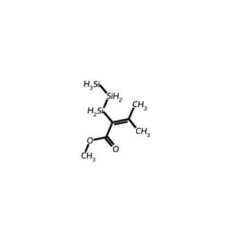 COC(=O)C([SiH2][SiH2][SiH3])=C(C)C